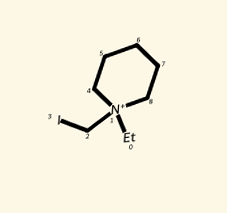 CC[N+]1(CI)CCCCC1